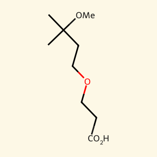 COC(C)(C)CCOCCC(=O)O